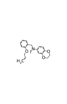 C=CCOc1ccccc1CN(I)c1ccc2c(c1)OCCO2